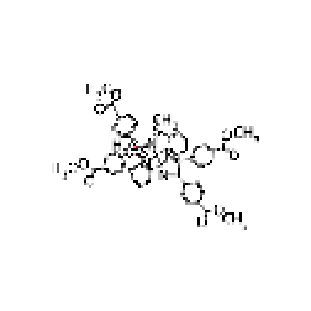 COC(=O)c1ccc(C2=NC(c3ccccc3SC)(C3(c4ccccc4SC)N=C(c4ccc(C(=O)OC)cc4)C(c4ccc(C(=O)OC)cc4)=N3)N=C2c2ccc(C(=O)OC)cc2)cc1